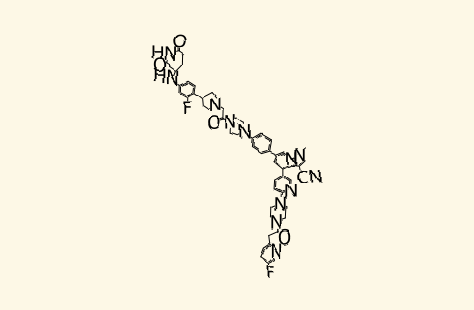 N#Cc1cnn2cc(-c3ccc(N4CCN(C(=O)CN5CCC(c6ccc(NC7CCC(=O)NC7=O)cc6F)CC5)CC4)cc3)cc(-c3ccc(N4CCN(C(=O)Cc5ccc(F)cn5)CC4)nc3)c12